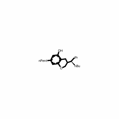 CCCCCc1cc(O)c2c(c1)OCC([C@H](CCCC)C(C)C)C2